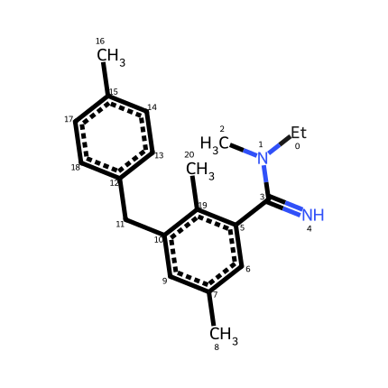 CCN(C)C(=N)c1cc(C)cc(Cc2ccc(C)cc2)c1C